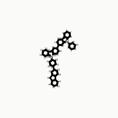 c1ccc(-n2c3ccccc3c3ccc(-c4ccc5c(c4)c4ccccc4n5-c4ccc(-c5ccc6c(c5)Cc5ccccc5-6)cc4)cc32)cc1